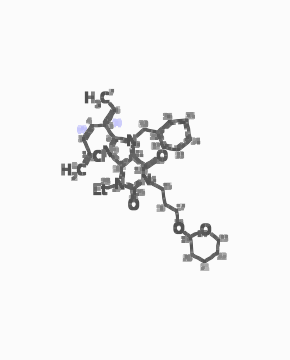 C=C(Cl)/C=C\C(=C/C)c1nc2c(c(=O)n(CCCOC3CCCCO3)c(=O)n2CC)n1Cc1ccccc1